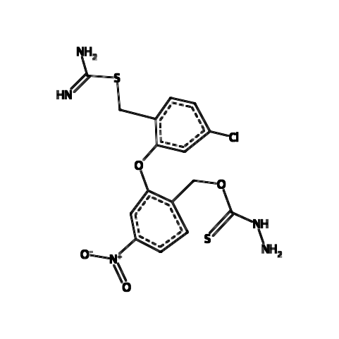 N=C(N)SCc1ccc(Cl)cc1Oc1cc([N+](=O)[O-])ccc1COC(=S)NN